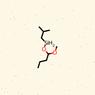 CCCC(OC)O[SiH2]CC(C)C